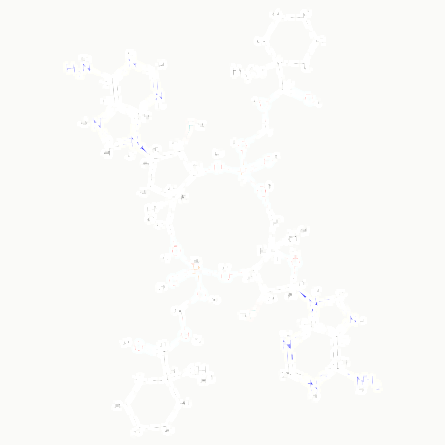 CC1(C(=O)OCOP2(=O)OC[C@H]3O[C@@H](n4cnc5c(N)ncnc54)C(F)C3OP(=O)(OCOC(=O)C3(C)CCCCC3)OC[C@H]3C[C@@H](n4cnc5c(N)ncnc54)C(F)C3O2)CCCCC1